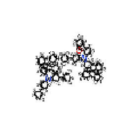 c1ccc(-c2ccc(N(c3ccc(-c4ccccc4)cc3)c3cccc4c3-c3ccccc3C43c4ccccc4-c4ccc(-c5ccc(-c6ccc(N(c7ccc8c(c7)-c7ccccc7C87c8ccccc8-c8ccccc87)c7cccc8c7oc7ccccc78)cc6)cc5)cc43)cc2)cc1